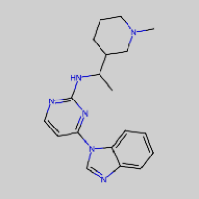 CC(Nc1nccc(-n2cnc3ccccc32)n1)C1CCCN(C)C1